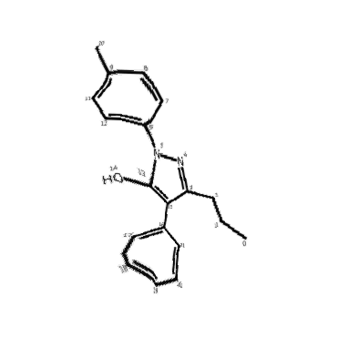 CCCc1nn(-c2ccc(C)cc2)c(O)c1-c1ccccc1